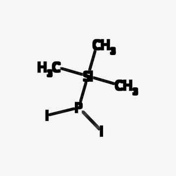 C[Si](C)(C)P(I)I